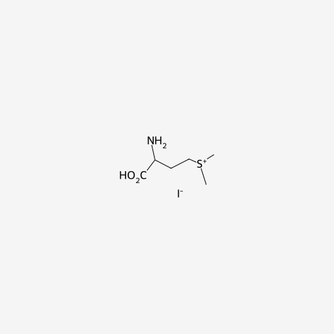 C[S+](C)CCC(N)C(=O)O.[I-]